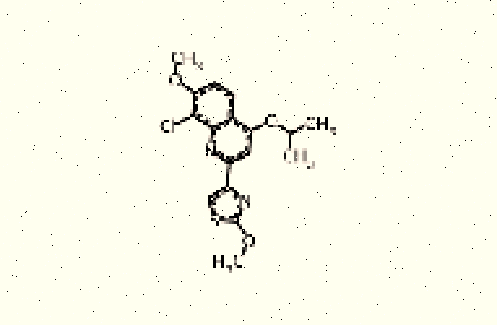 COc1nc(-c2cc(OC(C)C)c3ccc(OC)c(Cl)c3n2)cs1